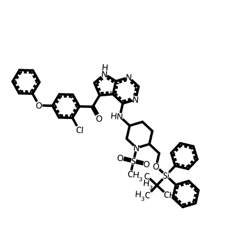 CC(C)(C)[Si](OCC1CCC(Nc2ncnc3[nH]cc(C(=O)c4ccc(Oc5ccccc5)cc4Cl)c23)CN1S(C)(=O)=O)(c1ccccc1)c1ccccc1